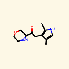 Cc1[c][nH]c(C)c1CC(=O)C1COCCN1